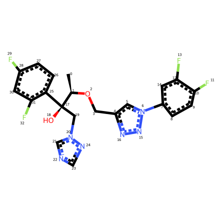 C[C@@H](OCc1cn(-c2ccc(F)c(F)c2)nn1)[C@](O)(Cn1cncn1)c1ccc(F)cc1F